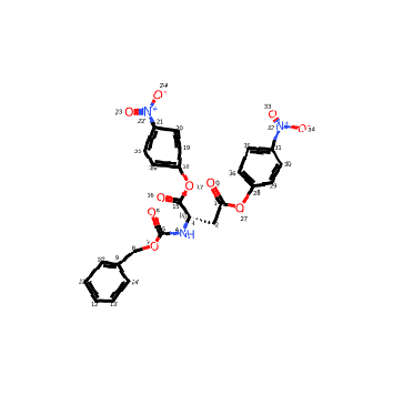 O=C(C[C@H](NC(=O)OCc1ccccc1)C(=O)Oc1ccc([N+](=O)[O-])cc1)Oc1ccc([N+](=O)[O-])cc1